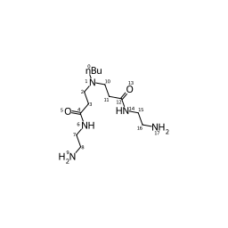 CCCCN(CCC(=O)NCCN)CCC(=O)NCCN